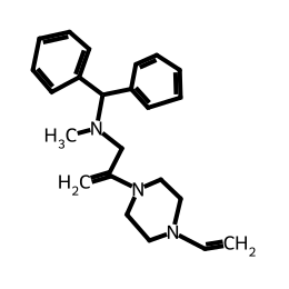 C=CN1CCN(C(=C)CN(C)C(c2ccccc2)c2ccccc2)CC1